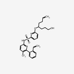 C=CCCC(CCCO)Oc1cccc(S(=O)(=O)Nc2ccc(C(F)(F)F)c(-c3ccccc3C=C)n2)n1